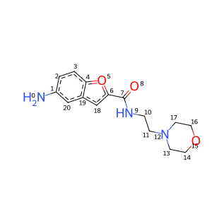 Nc1ccc2oc(C(=O)NCCN3CCOCC3)cc2c1